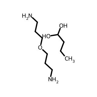 CCCC(O)O.NCCCOCCCN